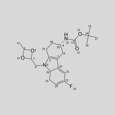 CC1OC(CN2C3=C(C[C@@H](NC(=O)OC(C)(C)C)CC3)C3=CC(F)=CCC32)O1